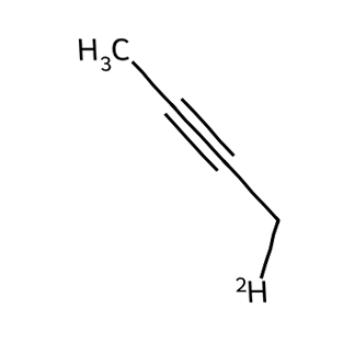 [2H]CC#CC